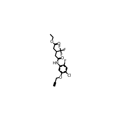 C#CCOc1cc(NC(=O)CC(CC(=O)OCC)C(F)(F)F)c(F)cc1Cl